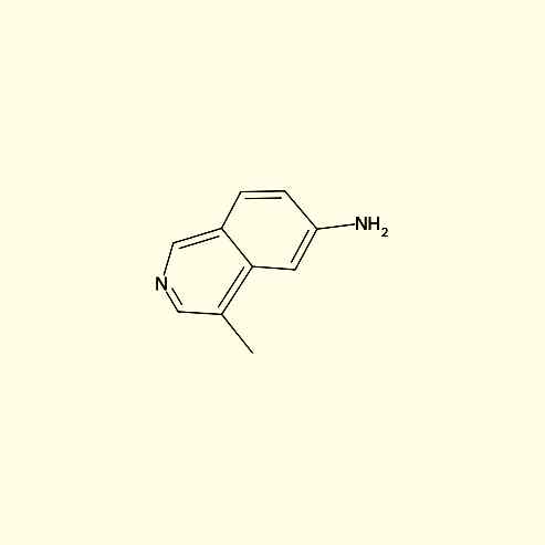 Cc1cncc2ccc(N)cc12